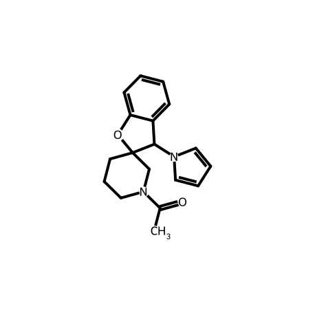 CC(=O)N1CCCC2(C1)Oc1ccccc1C2n1cccc1